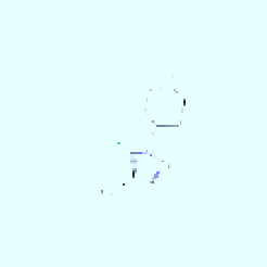 CCOC(=O)c1cnn([C@H]2CC[C@@H](O)CC2)c1Cl